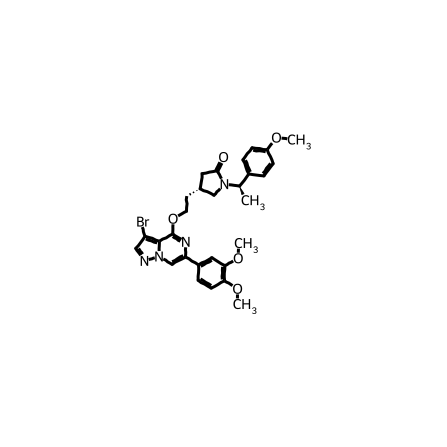 COc1ccc([C@@H](C)N2C[C@H](CCOc3nc(-c4ccc(OC)c(OC)c4)cn4ncc(Br)c34)CC2=O)cc1